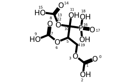 O=C(O)OCC(OC(=O)O)C(O)(OC(=O)O)P(=O)(O)O